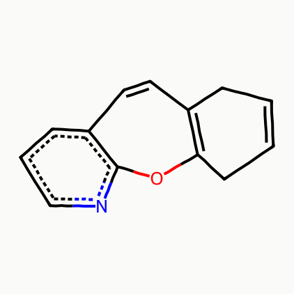 C1=CCC2=C(C=Cc3cccnc3O2)C1